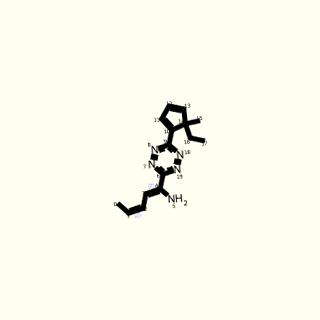 C/C=C\C=C(/N)c1nnc(C2=CC=CC2(C)CC)nn1